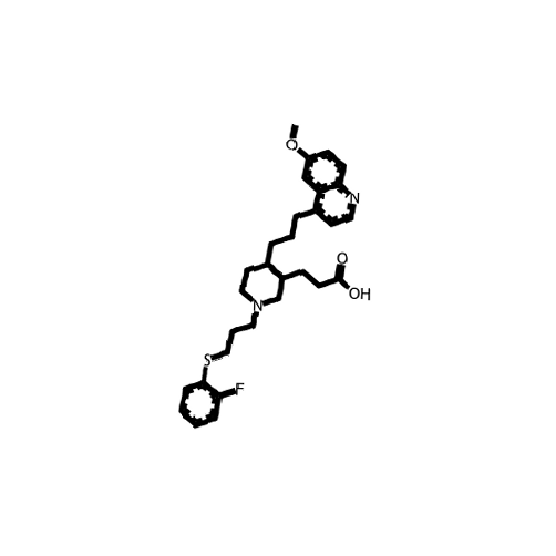 COc1ccc2nccc(CCCC3CCN(CCCSc4ccccc4F)CC3CCC(=O)O)c2c1